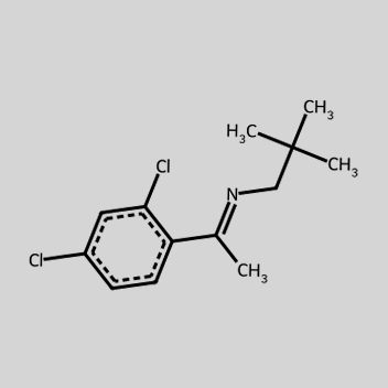 CC(=NCC(C)(C)C)c1ccc(Cl)cc1Cl